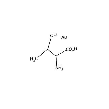 CC(O)C(N)C(=O)O.[Au]